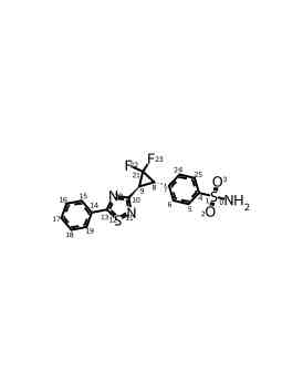 NS(=O)(=O)c1ccc([C@@H]2[C@@H](c3nsc(-c4ccccc4)n3)C2(F)F)cc1